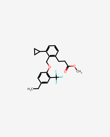 CCc1ccc(OCc2c(CCC(=O)OC)cccc2C2CC2)c(C(F)(F)F)c1